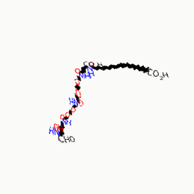 O=CC(CCCCNC(=O)COCCOCCNC(=O)COCCOCCNC(=O)CC[C@H](NC(=O)CCCCCCCCCCCCCCCCCCC(=O)O)C(=O)O)NO